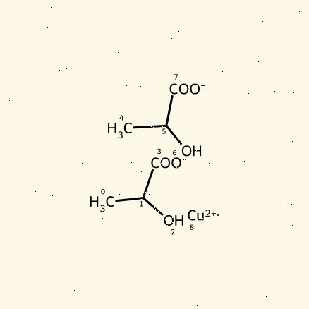 CC(O)C(=O)[O-].CC(O)C(=O)[O-].[Cu+2]